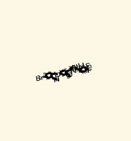 COc1cc(OCc2ccc(Br)cc2C#N)ccc1-c1c[nH]c(-c2ccc(F)c(F)c2)n1